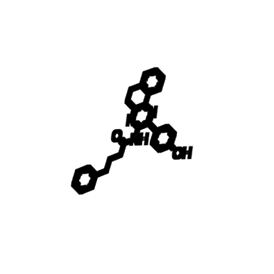 O=C(CCCc1ccccc1)Nc1nc2c(nc1-c1ccc(O)cc1)-c1ccccc1CC2